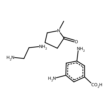 CN1CCCC1=O.NCCN.Nc1cc(N)cc(C(=O)O)c1